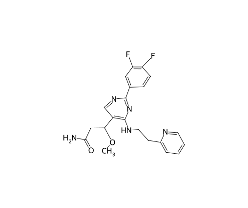 COC(CC(N)=O)c1cnc(-c2ccc(F)c(F)c2)nc1NCCc1ccccn1